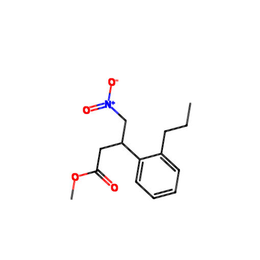 CCCc1ccccc1C(CC(=O)OC)C[N+](=O)[O-]